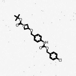 CC(C)(C)OC(=O)N1CC(OCc2ccc(NC(=O)OCc3ccc(Cl)cc3)cc2)C1